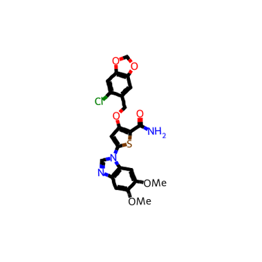 COc1cc2ncn(-c3cc(OCc4cc5c(cc4Cl)OCO5)c(C(N)=O)s3)c2cc1OC